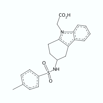 Cc1ccc(S(=O)(=O)NC2CCc3c(c4ccccc4n3CC(=O)O)C2)cc1